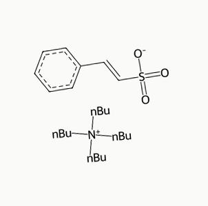 CCCC[N+](CCCC)(CCCC)CCCC.O=S(=O)([O-])C=Cc1ccccc1